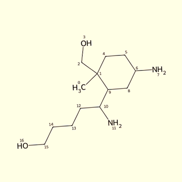 CC1(CO)CCC(N)CC1C(N)CCCCO